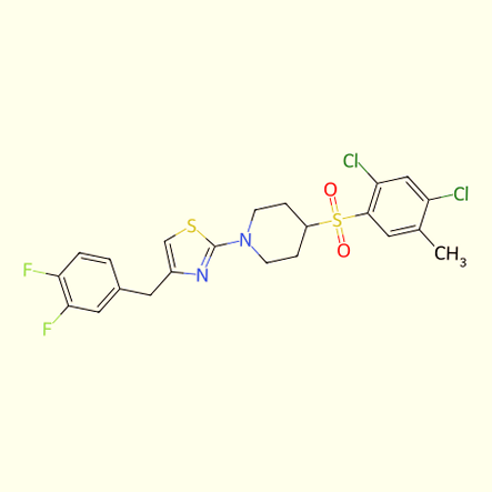 Cc1cc(S(=O)(=O)C2CCN(c3nc(Cc4ccc(F)c(F)c4)cs3)CC2)c(Cl)cc1Cl